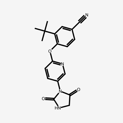 CC(C)(C)c1cc(C#N)ccc1Oc1ccc(N2C(=O)CNC2=O)cn1